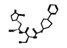 CC(C)C[C@H](NC(=O)OC1CCC(c2ccccc2)CC1)C(=O)N[C@H](C=O)C[C@@H]1CCNC1=O